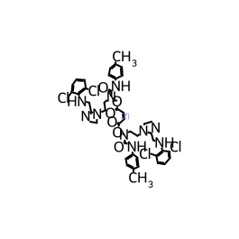 Cc1ccc(NC(=O)N(CCN2CCN=C2CNc2c(Cl)cccc2Cl)OC(=O)/C=C\C(=O)ON(CCN2CCN=C2CNc2c(Cl)cccc2Cl)C(=O)Nc2ccc(C)cc2)cc1